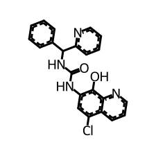 O=C(Nc1cc(Cl)c2cccnc2c1O)NC(c1ccccc1)c1ccccn1